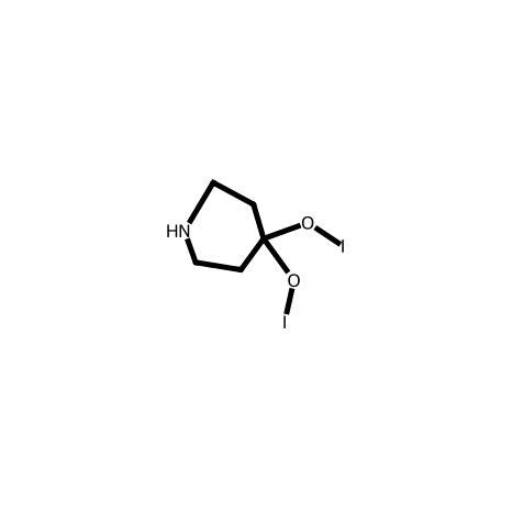 IOC1(OI)CCNCC1